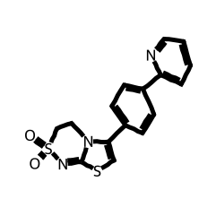 O=S1(=O)CCN2C(c3ccc(-c4ccccn4)cc3)=CSC2=N1